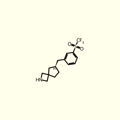 O=S(=O)(c1cccc(C[C@H]2CCC3(CNC3)C2)c1)C(F)(F)F